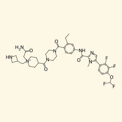 CCc1cc(NC(=O)c2ncc(-c3ccc(OC(F)F)c(F)c3F)n2C)ccc1C(=O)N1CCN(C(=O)C2CC[N+](CC(N)=O)(CC3CNC3)CC2)CC1